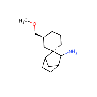 COC[C@H]1CCC[C@@]2(C1)C1CCC(C1)C2N